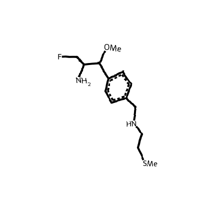 COC(c1ccc(CNCCSC)cc1)C(N)CF